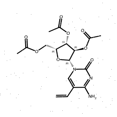 C=Cc1cn([C@@H]2O[C@H](COC(C)=O)[C@H](OC(C)=O)[C@H]2OC(C)=O)c(=O)nc1N